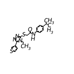 CCn1c(SCC(=O)Nc2ccc(C(C)C)cc2)nnc1-c1ccsc1